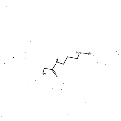 CC(C)CC(=O)NCCCNC(C)C